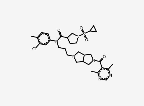 Cc1ccc(N(CCCN2CC3CN(C(=O)c4c(C)ncnc4C)CC3C2)C(=O)C2CCN(S(=O)(=O)C3CC3)C2)cc1Cl